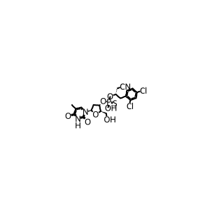 Cc1cn([C@H]2C[C@H](OP(O)(=S)O[C@H](CC#N)Cc3ccc(Cl)cc3Cl)[C@@H](CO)O2)c(=O)[nH]c1=O